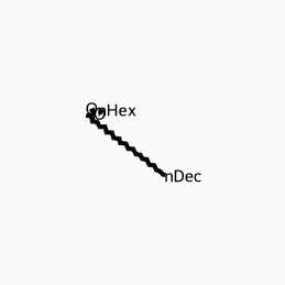 CCCCCCCCCCCCCCCCCCCCCCCCCCCCCCC=C(C)C(=O)OCCCCCC